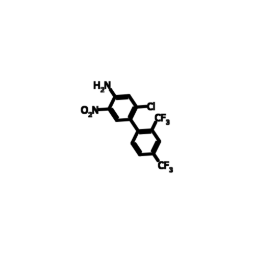 Nc1cc(Cl)c(-c2ccc(C(F)(F)F)cc2C(F)(F)F)cc1[N+](=O)[O-]